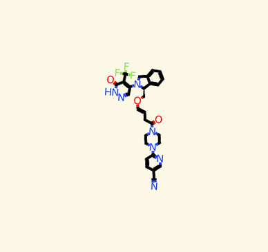 N#Cc1ccc(N2CCN(C(=O)C/C=C/OC[C@@H]3c4ccccc4CN3c3cn[nH]c(=O)c3C(F)(F)F)CC2)nc1